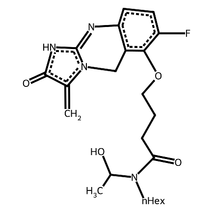 C=c1c(=O)[nH]c2n1Cc1c(ccc(F)c1OCCCC(=O)N(CCCCCC)C(C)O)N=2